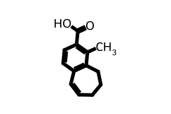 Cc1c(C(=O)O)ccc2c1CCCC=C2